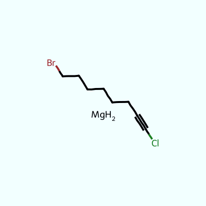 ClC#CCCCCCCBr.[MgH2]